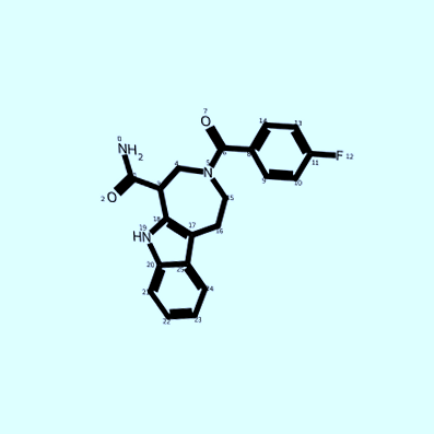 NC(=O)C1CN(C(=O)c2ccc(F)cc2)CCc2c1[nH]c1ccccc21